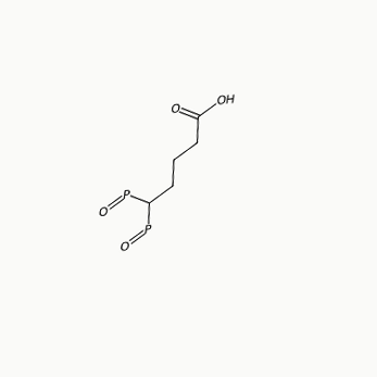 O=PC(CCCC(=O)O)P=O